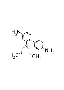 C=CCN(CC=C)c1cc(N)ccc1-c1ccc(N)cc1